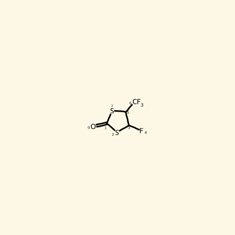 O=C1SC(F)C(C(F)(F)F)S1